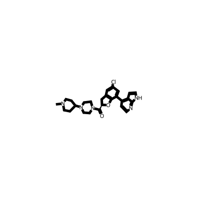 CN1CCC(N2CCN(C(=O)[C@H]3Cc4cc(Cl)cc(-c5ccnc6[nH]ccc56)c4O3)CC2)CC1